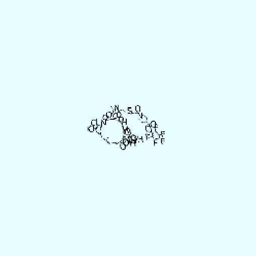 COc1cc2cc(c1Cl)N(C)C(=O)C[C@H](OC(=O)[C@@H](C)N(C)C(=O)CCSCC(=O)N1CCC(C(=O)Oc3c(F)c(F)c(F)c(F)c3F)CC1)[C@]1(C)O[C@H]1[C@H](C)[C@@H]1C[C@@](O)(NC(O)O1)[C@H](OC)/C=C/C=C(\C)C2